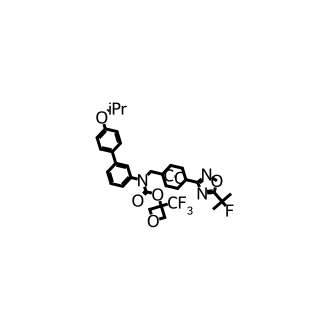 CC(C)Oc1ccc(-c2cccc(N(CC34CCC(c5noc(C(C)(C)F)n5)(CC3)CC4)C(=O)OC3(C(F)(F)F)COC3)c2)cc1